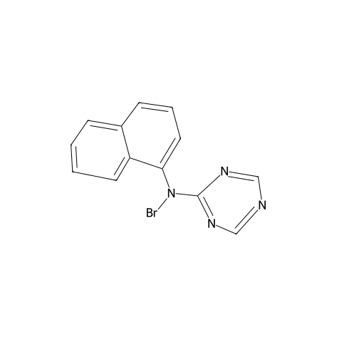 BrN(c1ncncn1)c1cccc2ccccc12